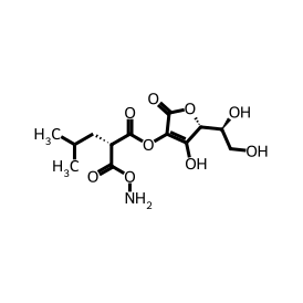 CC(C)C[C@@H](C(=O)ON)C(=O)OC1=C(O)[C@@H]([C@@H](O)CO)OC1=O